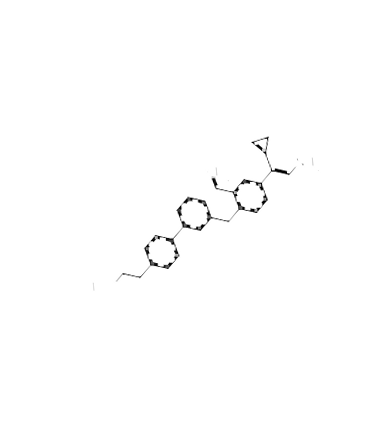 C=Cc1cc(/C(=C/N)C2=CC2)ccc1Cc1cccc(-c2ccc(CCC)cc2)c1